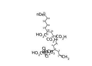 C=CCC(CCC(=O)O)C(=O)O.CC(Cl)(Cl)C(=O)O.CCCCCCCCCCCCCCC(CCC(=O)O)C(=O)O